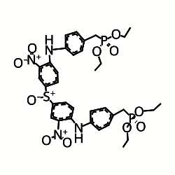 CCOP(=O)(Cc1ccc(Nc2ccc([S+]([O-])c3ccc(Nc4ccc(CP(=O)(OCC)OCC)cc4)c([N+](=O)[O-])c3)cc2[N+](=O)[O-])cc1)OCC